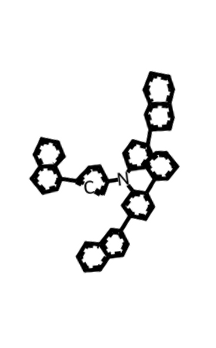 c1ccc(-c2ccc(-c3ccc4ccccc4c3)cc2N(c2ccc(-c3ccc4ccccc4c3)cc2)c2ccc(-c3cccc4ccccc34)cc2)cc1